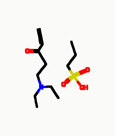 C=CC(=O)CCN(CC)CC.CCCS(=O)(=O)O